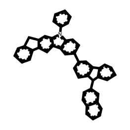 c1ccc(-n2c3ccc(-c4ccc5c(c4)-c4ccccc4C5c4ccc5ccccc5c4)cc3c3cc4c(cc32)Cc2ccccc2-4)cc1